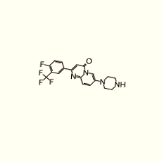 O=c1cc(-c2ccc(F)c(C(F)(F)F)c2)nc2ccc(N3CCNCC3)cn12